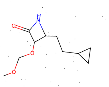 COCOC1C(=O)NC1CCC1CC1